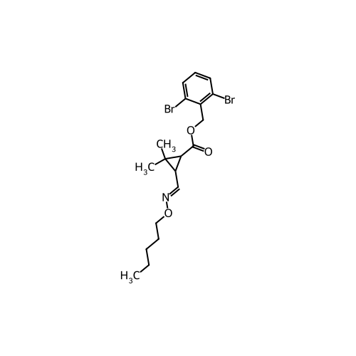 CCCCCON=CC1C(C(=O)OCc2c(Br)cccc2Br)C1(C)C